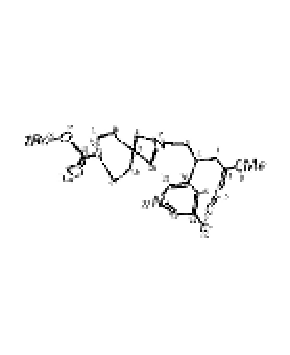 COC(=C=O)C[C@H](CN1CC2(CCN(C(=O)OC(C)(C)C)CC2)C1)c1cncc(Br)c1